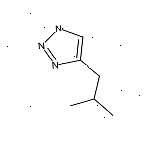 CC(C)CC1=C[N]N=N1